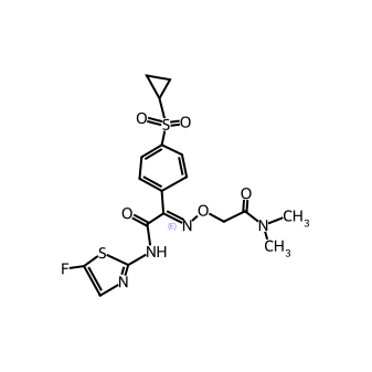 CN(C)C(=O)CO/N=C(/C(=O)Nc1ncc(F)s1)c1ccc(S(=O)(=O)C2CC2)cc1